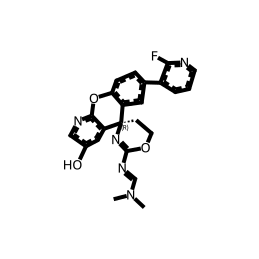 CN(C)C=NC1=N[C@]2(CCO1)c1cc(-c3cccnc3F)ccc1Oc1ncc(O)cc12